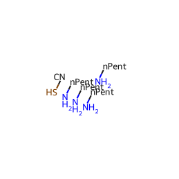 CCCCCN.CCCCCN.CCCCCN.CCCCCN.N#CS